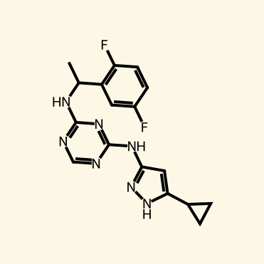 CC(Nc1ncnc(Nc2cc(C3CC3)[nH]n2)n1)c1cc(F)ccc1F